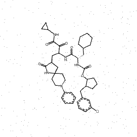 O=C(N[C@@H](CC1CCCCC1)C(=O)NC(CC1CC2(CCN(c3ccccc3)CC2)NC1=O)C(=O)C(=O)NC1CC1)OC1CCCC1Cc1cccc(Cl)c1